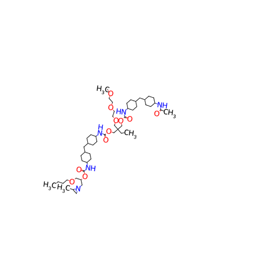 CCCCOCC(CN1CC1C)OC(=O)NC1CCC(CC2CCC(NC(=O)OCC(CC)(COCCOCCOC)COC(=O)NC3CCC(CC4CCC(NC(C)=O)CC4)CC3)CC2)CC1